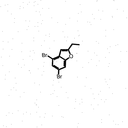 CCc1cc2c(Br)cc(Br)cc2o1